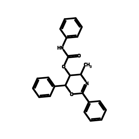 CC1N=C(c2ccccc2)OC(c2ccccc2)C1OC(=O)Nc1ccccc1